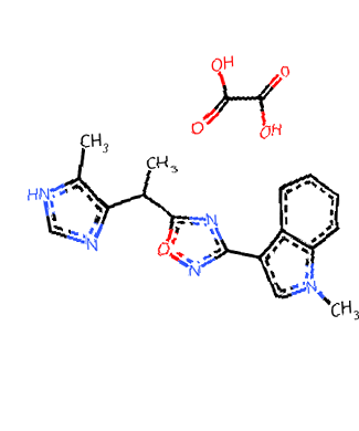 Cc1[nH]cnc1C(C)c1nc(-c2cn(C)c3ccccc23)no1.O=C(O)C(=O)O